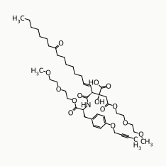 CC#CCOc1ccc(C[C@H](NC(=O)[C@@H](/C=C/CCCCCCC(=O)CCCCCCC)[C@@](O)(CC(=O)OCCOCCOC)C(=O)O)C(=O)OCCOCCOC)cc1